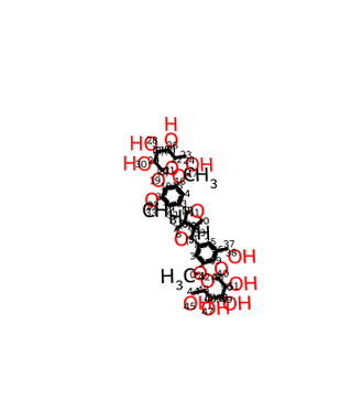 COc1cc([C@H]2OC[C@@H]3[C@@H]2CO[C@H]3c2cc(OC)c(O[C@@H]3OC(CO)[C@@H](O)[C@@H](O)C3O)c(OC)c2)cc(CO)c1O[C@@H]1OC(CO)[C@@H](O)[C@@H](O)C1O